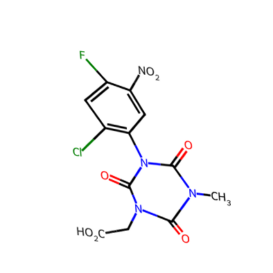 Cn1c(=O)n(CC(=O)O)c(=O)n(-c2cc([N+](=O)[O-])c(F)cc2Cl)c1=O